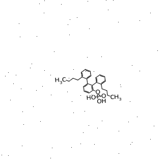 CCCCc1ccccc1-c1cccc(OP(=O)(O)O)c1-c1ccccc1CCCC